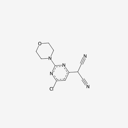 N#CC(C#N)c1cc(Cl)nc(N2CCOCC2)n1